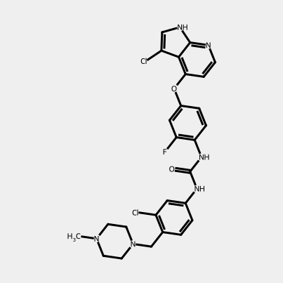 CN1CCN(Cc2ccc(NC(=O)Nc3ccc(Oc4ccnc5[nH]cc(Cl)c45)cc3F)cc2Cl)CC1